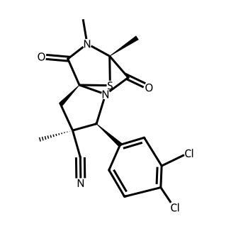 CN1C(=O)[C@@]23C[C@](C)(C#N)[C@H](c4ccc(Cl)c(Cl)c4)N2C(=O)[C@]1(C)S3